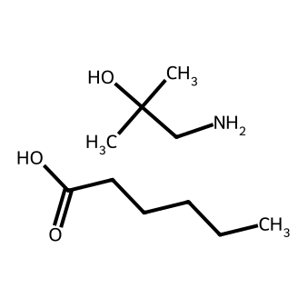 CC(C)(O)CN.CCCCCC(=O)O